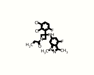 C=CC(=O)N1CC(Nc2cc(F)c3c(C)nn(C)c3c2)(c2c(F)ccc(Cl)c2Cl)C1